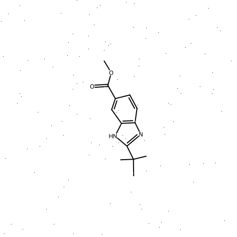 COC(=O)c1ccc2nc(C(C)(C)C)[nH]c2c1